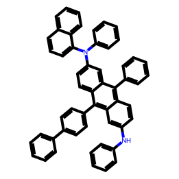 c1ccc(Nc2ccc3c(-c4ccccc4)c4cc(N(c5ccccc5)c5cccc6ccccc56)ccc4c(-c4ccc(-c5ccccc5)cc4)c3c2)cc1